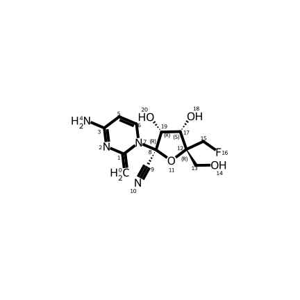 C=C1N=C(N)C=CN1[C@]1(C#N)O[C@@](CO)(CF)[C@@H](O)[C@H]1O